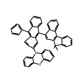 CC1(C)c2ccccc2-c2c1cc(-c1c3ccccc3c(-c3ccccc3)c3ccc(N4c5ccccc5Oc5ccccc54)cc13)c1ccccc21